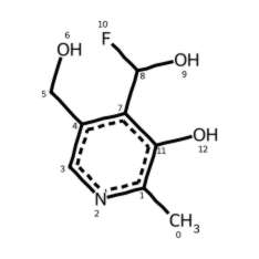 Cc1ncc(CO)c(C(O)F)c1O